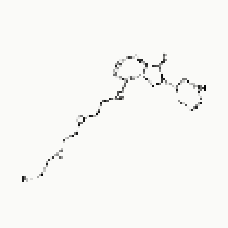 O=C1c2cccc(SCCOCCOCCBr)c2CN1C1CCCNC1